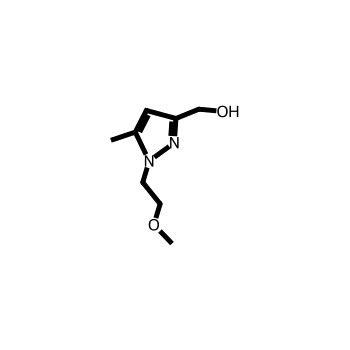 COCCn1nc(CO)cc1C